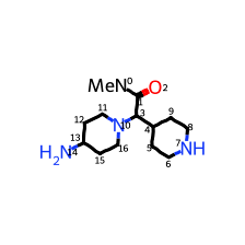 CNC(=O)C(C1CCNCC1)N1CCC(N)CC1